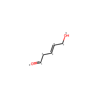 O=CCC=CCO